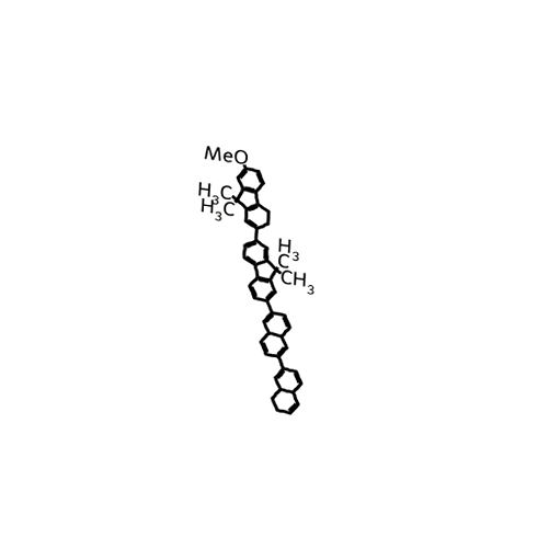 COc1ccc2c(c1)C(C)(C)C1=C2CCC(c2ccc3c(c2)C(C)(C)c2cc(C4=CC5C=CC(C6=CC7CCC=CC7C=C6)=CC5C=C4)ccc2-3)=C1